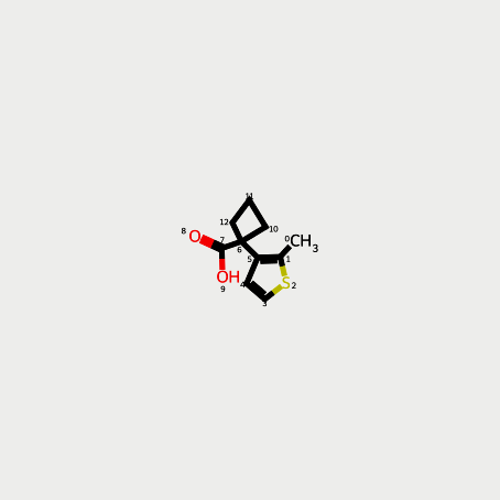 Cc1sccc1C1(C(=O)O)CCC1